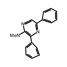 CNc1ncc(-c2ccccc2)nc1-c1ccccc1